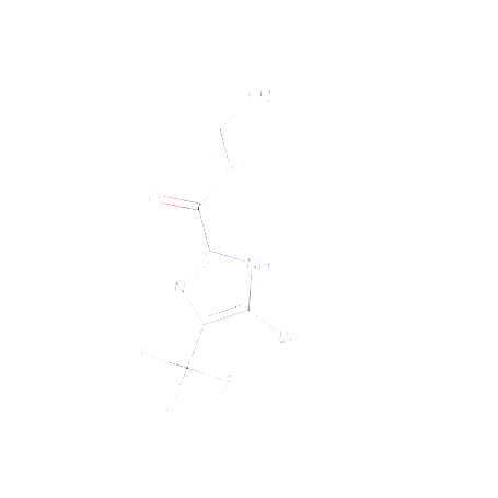 CCOC(=O)c1nc(C(F)(F)F)c(Br)[nH]1